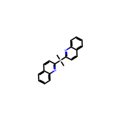 [CH3][Ir]([CH3])([c]1ccc2ccccc2n1)[c]1ccc2ccccc2n1